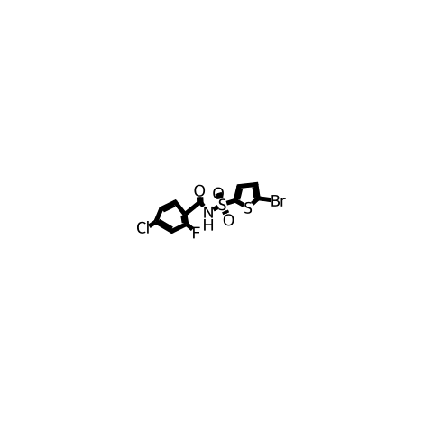 O=C(NS(=O)(=O)c1ccc(Br)s1)c1ccc(Cl)cc1F